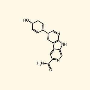 NC(=O)c1cc2c(cn1)[nH]c1ncc(C3=CC[C@H](O)C=C3)cc12